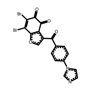 O=C1C(=O)c2c(C(=O)c3ccc(-n4ccnc4)cc3)coc2C(Br)=C1Br